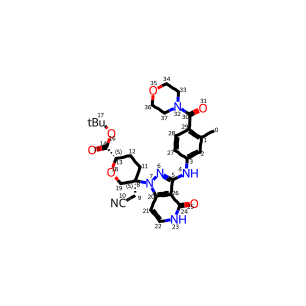 Cc1cc(Nc2nn([C@]3(CC#N)CC[C@@H](C(=O)OC(C)(C)C)OC3)c3cc[nH]c(=O)c23)ccc1C(=O)N1CCOCC1